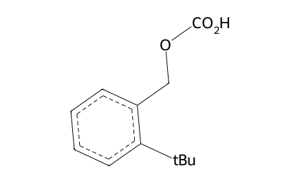 CC(C)(C)c1ccccc1COC(=O)O